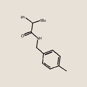 Cc1ccc(CNC(=O)C(C(C)C)C(C)(C)C)cc1